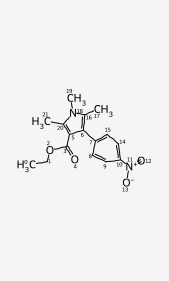 CCOC(=O)c1c(-c2ccc([N+](=O)[O-])cc2)c(C)n(C)c1C